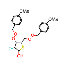 COc1ccc(COOC[C@H]2SC(O)[C@@H](F)[C@@H]2OOCc2ccc(OC)cc2)cc1